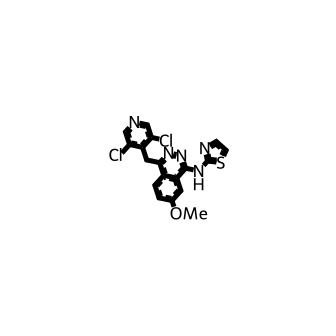 COc1ccc2c(Cc3c(Cl)cncc3Cl)nnc(Nc3nccs3)c2c1